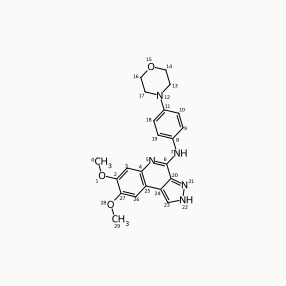 COc1cc2nc(Nc3ccc(N4CCOCC4)cc3)c3n[nH]cc3c2cc1OC